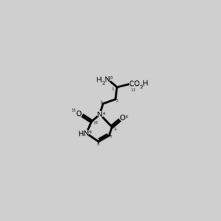 NC(CCn1c(=O)cc[nH]c1=O)C(=O)O